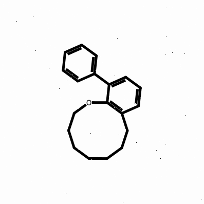 c1ccc(-c2cccc3c2OCCCCCCC3)cc1